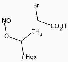 CCCCCCC(C)ON=O.O=C(O)CBr